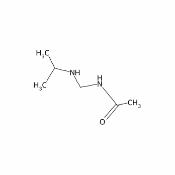 CC(=O)NCNC(C)C